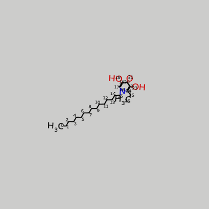 CCCCCCCCCCCCCCCCn1cc(O)c(=O)c(O)c1CC